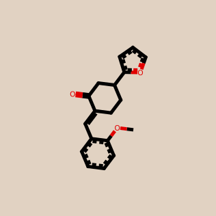 COc1ccccc1C=C1CCC(c2ccco2)CC1=O